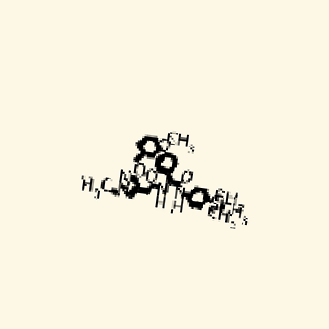 CCn1cc(CC(=O)NC(C(=O)Nc2ccc([Si](C)(C)C)cc2)c2ccc(OC)cc2)c(OCc2ccccc2)n1